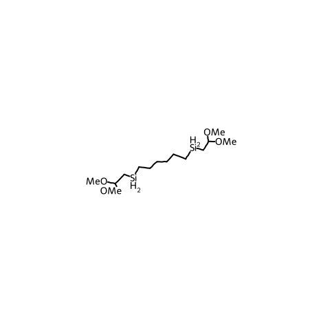 COC(C[SiH2]CCCCCC[SiH2]CC(OC)OC)OC